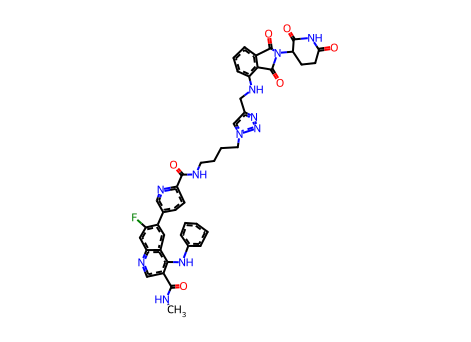 CNC(=O)c1cnc2cc(F)c(-c3ccc(C(=O)NCCCCn4cc(CNc5cccc6c5C(=O)N(C5CCC(=O)NC5=O)C6=O)nn4)nc3)cc2c1Nc1ccccc1